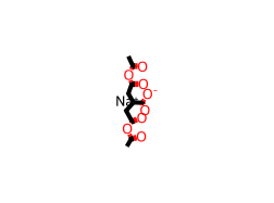 CC(=O)OC(=O)CC(CC(=O)OC(C)=O)C(=O)[O-].[Na+]